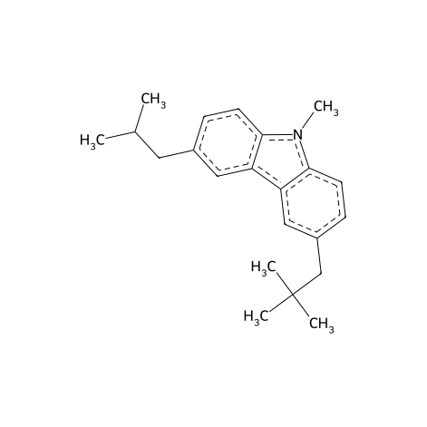 CC(C)Cc1ccc2c(c1)c1cc(CC(C)(C)C)ccc1n2C